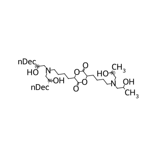 CCCCCCCCCC[C@@H](O)CN(CCCCC1OC(=O)C(CCCCN(CC(C)O)C[C@@H](C)O)OC1=O)C[C@H](O)CCCCCCCCCC